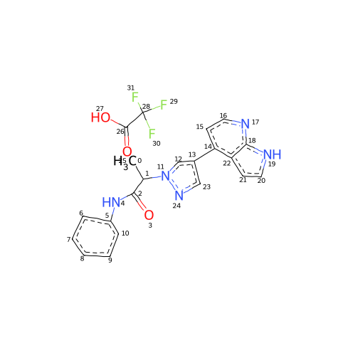 CC(C(=O)Nc1ccccc1)n1cc(-c2ccnc3[nH]ccc23)cn1.O=C(O)C(F)(F)F